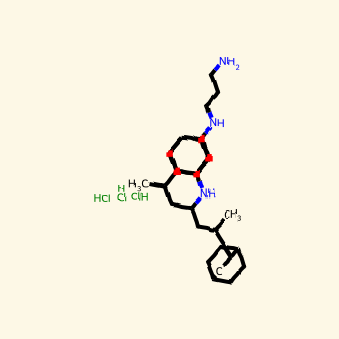 CC(CC(CC(C)C1CC2CCC1CC2)NCCCNCCCN)C1CC2CCC1CC2.Cl.Cl.Cl